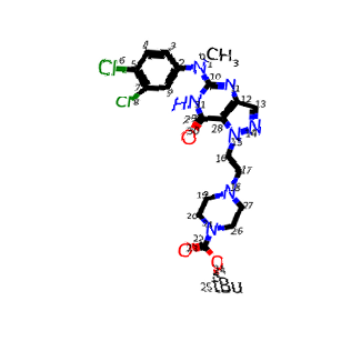 CN(c1ccc(Cl)c(Cl)c1)c1nc2cnn(CCN3CCN(C(=O)OC(C)(C)C)CC3)c2c(=O)[nH]1